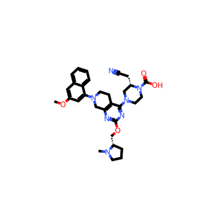 COc1cc(N2CCc3c(nc(OC[C@@H]4CCCN4C)nc3N3CCN(C(=O)O)[C@@H](CC#N)C3)C2)c2ccccc2c1